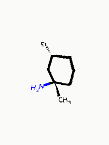 CC[C@@H]1CCC[C@](C)(N)C1